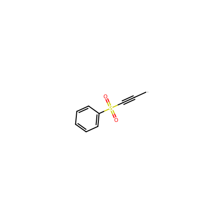 [CH2]C#CS(=O)(=O)c1ccccc1